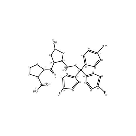 O=C(O)C1CCCN1C(=O)C1CC(O)CN1C(=O)CC(c1ccc(F)cc1)(c1ccc(F)cc1)c1ccc(F)cc1